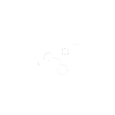 O=CCN1CC(C(c2ccccc2)n2cc([N+](=O)[O-])cn2)C1